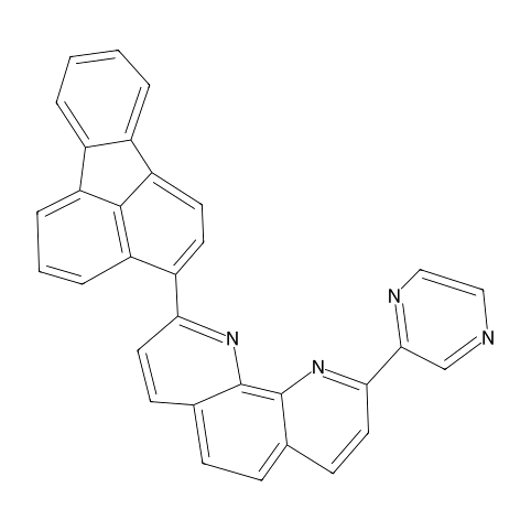 c1ccc2c(c1)-c1cccc3c(-c4ccc5ccc6ccc(-c7cnccn7)nc6c5n4)ccc-2c13